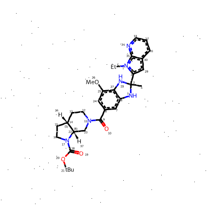 CCn1c(C2(C)Nc3cc(C(=O)N4CC[C@H]5CCN(C(=O)OC(C)(C)C)[C@H]5C4)cc(OC)c3N2)cc2cccnc21